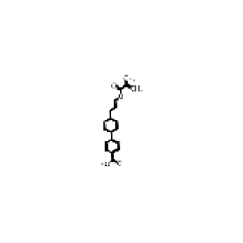 C=C(C)C(=O)OCCCC1CCC(c2ccc(C(=O)O)cc2)CC1